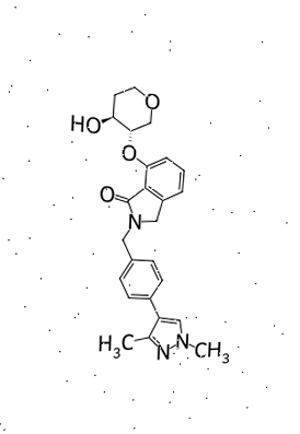 Cc1nn(C)cc1-c1ccc(CN2Cc3cccc(O[C@H]4COCC[C@@H]4O)c3C2=O)cc1